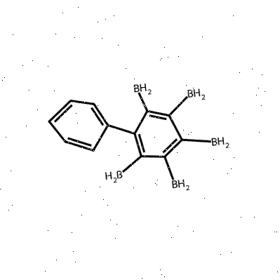 Bc1c(B)c(B)c(-c2ccccc2)c(B)c1B